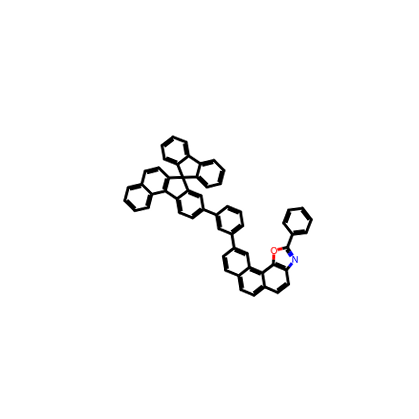 c1ccc(-c2nc3ccc4ccc5ccc(-c6cccc(-c7ccc8c(c7)C7(c9ccccc9-c9ccccc97)c7ccc9ccccc9c7-8)c6)cc5c4c3o2)cc1